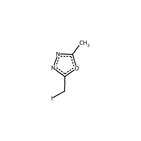 Cc1nnc(CI)o1